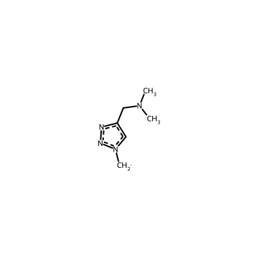 [CH2]n1cc(CN(C)C)nn1